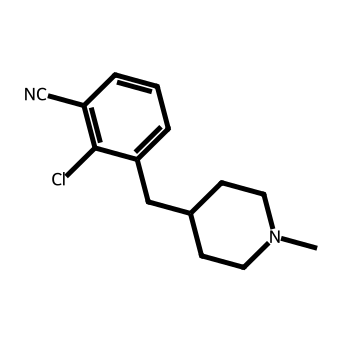 CN1CCC(Cc2cccc(C#N)c2Cl)CC1